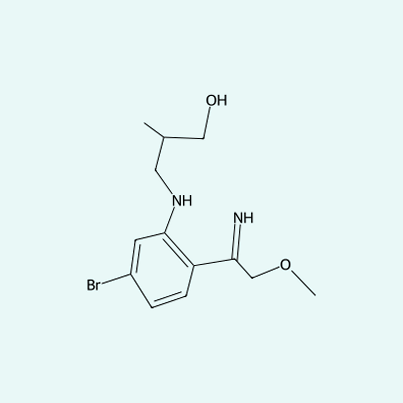 COCC(=N)c1ccc(Br)cc1NCC(C)CO